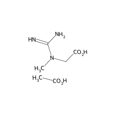 CC(=O)O.CN(CC(=O)O)C(=N)N